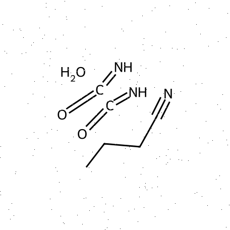 CCCC#N.N=C=O.N=C=O.O